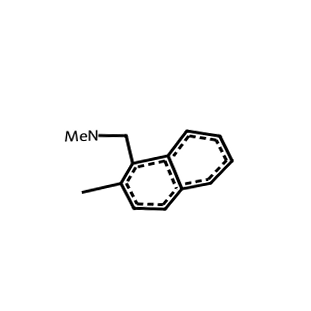 CNCc1c(C)ccc2ccccc12